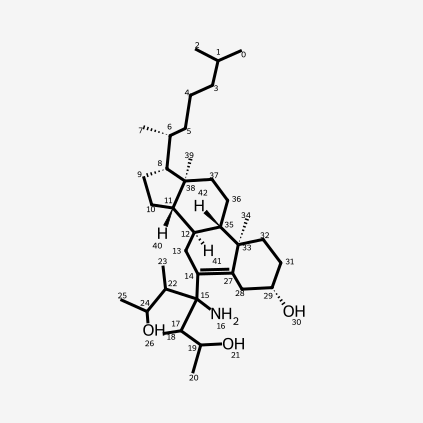 CC(C)CCC[C@@H](C)[C@H]1CC[C@H]2[C@@H]3CC(C(N)(C(C)C(C)O)C(C)C(C)O)=C4C[C@@H](O)CC[C@]4(C)[C@H]3CC[C@]12C